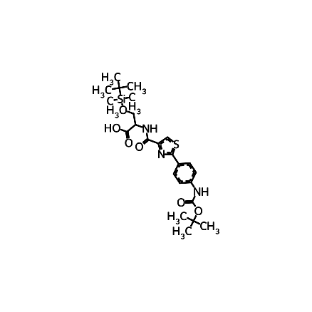 CC(C)(C)OC(=O)Nc1ccc(-c2nc(C(=O)NC(CO[Si](C)(C)C(C)(C)C)C(=O)O)cs2)cc1